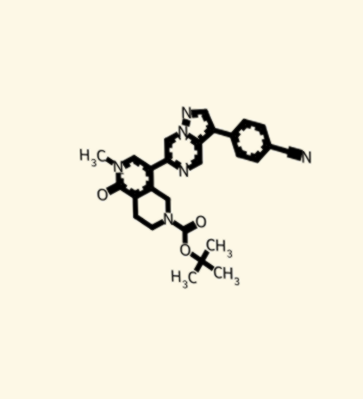 Cn1cc(-c2cn3ncc(-c4ccc(C#N)cc4)c3cn2)c2c(c1=O)CCN(C(=O)OC(C)(C)C)C2